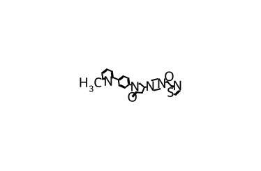 Cc1cccc(-c2ccc(N3CC(N4CCN(C(=O)c5nccs5)CC4)CC3=O)cc2)n1